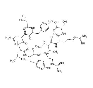 CNCC(=O)N[C@@H](Cc1ccc(O)cc1)C(=O)N[C@@H](CC(N)=O)C(=O)N[C@@H](CC(C)C)C(=O)N[C@@H](Cc1ccc(O)cc1)C(=O)N[C@@H](CCCNC(=N)N)C(=O)N[C@H](C(=O)N[C@@H](CCCNC(=N)N)C(=O)N[C@@H](CO)C(=O)O)C(C)C